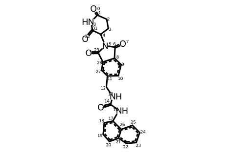 O=C1CCC(N2C(=O)c3ccc(CNC(=O)Nc4cccc5ccccc45)cc3C2=O)C(=O)N1